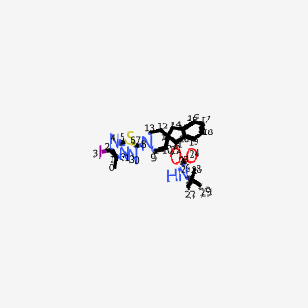 Cc1c(I)nc2sc(N3CCC4(CC3)Cc3ccccc3[C@H]4OC(=O)NC(C)(C)C)nn12